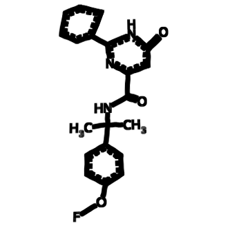 CC(C)(NC(=O)c1cc(=O)[nH]c(-c2ccccc2)n1)c1ccc(OF)cc1